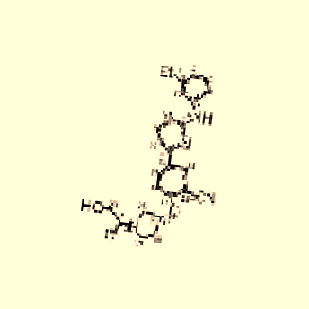 CCc1cccc(Nc2nccc(-c3ccc(O[C@@H]4CCN(C(=O)CO)C4)c(C#N)c3)n2)c1